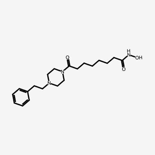 O=C(CCCCCCC(=O)N1CCN(CCc2ccccc2)CC1)NO